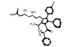 CC(C)c1c(C(=O)N(C)c2ccccc2)c(-c2ccccc2)c(-c2ccc(F)cc2)n1CC[C@@H](O)C[C@@H](O)CC(=O)O